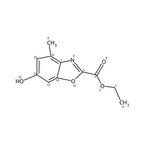 CCOC(=O)c1nc2c(C)cc(O)cc2o1